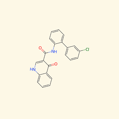 O=C(Nc1ccccc1-c1cccc(Cl)c1)c1c[nH]c2ccccc2c1=O